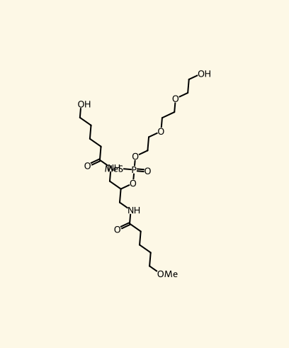 COCCCCC(=O)NCC(CNC(=O)CCCCO)OP(=O)(OCCOCCOCCO)SC